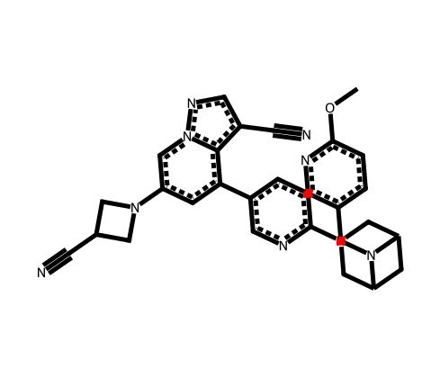 COc1ccc(CN2C3CC2CN(c2ccc(-c4cc(N5CC(C#N)C5)cn5ncc(C#N)c45)cn2)C3)cn1